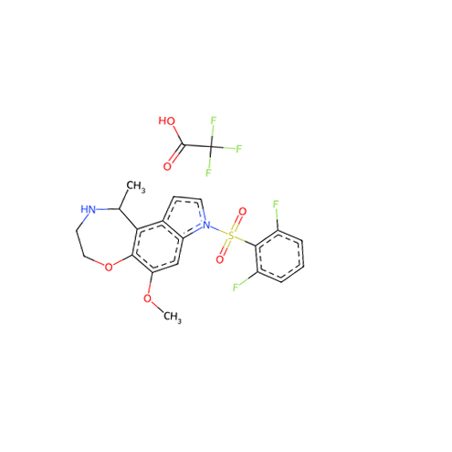 COc1cc2c(ccn2S(=O)(=O)c2c(F)cccc2F)c2c1OCCNC2C.O=C(O)C(F)(F)F